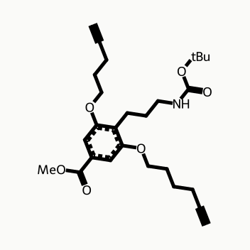 C#CCCCCOc1cc(C(=O)OC)cc(OCCCC#C)c1CCCNC(=O)OC(C)(C)C